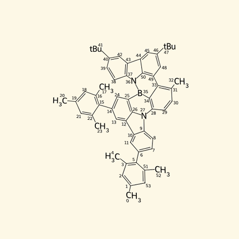 Cc1cc(C)c(-c2ccc3c(c2)c2cc(-c4c(C)cc(C)cc4C)cc4c2n3-c2ccc(C)c3c2B4n2c4ccc(C(C)(C)C)cc4c4cc(C(C)(C)C)cc-3c42)c(C)c1